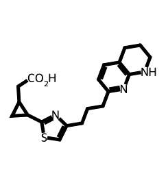 O=C(O)CC1CC1c1nc(CCCc2ccc3c(n2)NCCC3)cs1